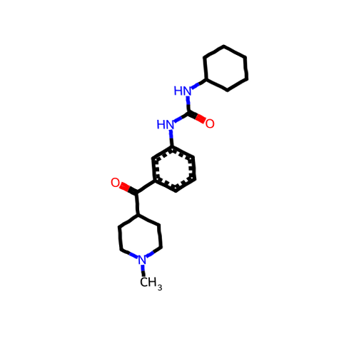 CN1CCC(C(=O)c2cccc(NC(=O)NC3CCCCC3)c2)CC1